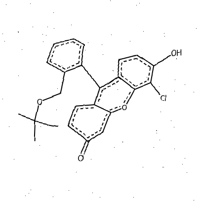 CC(C)(C)OCc1ccccc1-c1c2ccc(=O)cc-2oc2c(Cl)c(O)ccc12